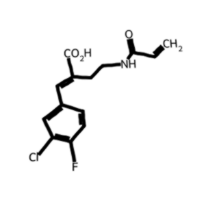 C=CC(=O)NCC/C(=C\c1ccc(F)c(Cl)c1)C(=O)O